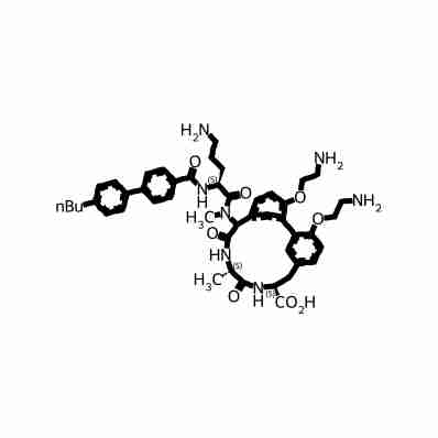 CCCCc1ccc(-c2ccc(C(=O)N[C@@H](CCCN)C(=O)N(C)C3C(=O)N[C@@H](C)C(=O)N[C@H](C(=O)O)Cc4ccc(OCCN)c(c4)-c4cc3ccc4OCCN)cc2)cc1